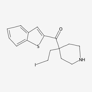 O=C(c1cc2ccccc2s1)C1(CCI)CCNCC1